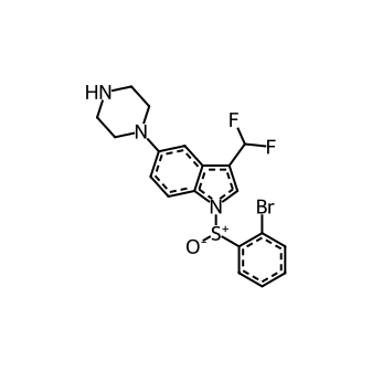 [O-][S+](c1ccccc1Br)n1cc(C(F)F)c2cc(N3CCNCC3)ccc21